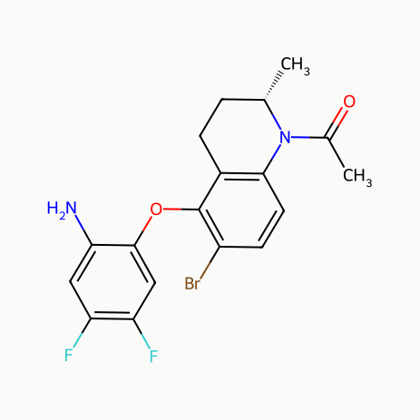 CC(=O)N1c2ccc(Br)c(Oc3cc(F)c(F)cc3N)c2CC[C@@H]1C